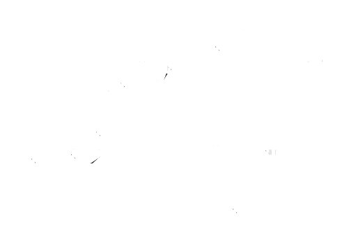 CCCCCCc1ccc(C(=O)N2CCCC[C@H]2C(=O)N(C)[C@@H]2C(=O)N[C@@H](C)C(=O)N[C@H](C(=O)NCC#N)Cc3ccc(OCCN)c(c3)-c3cc2ccc3OCCN)c(C)c1